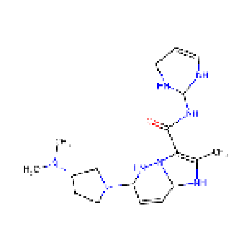 CC1=C(C(=O)NC2NC=CCN2)N2NC(N3CC[C@H](N(C)C)C3)C=CC2N1